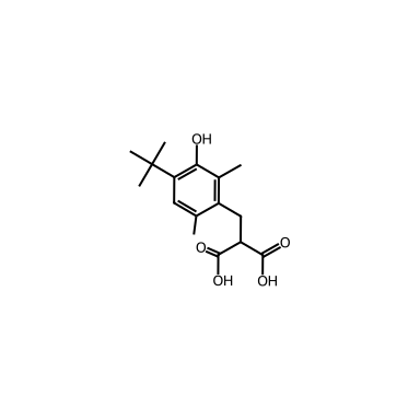 Cc1cc(C(C)(C)C)c(O)c(C)c1CC(C(=O)O)C(=O)O